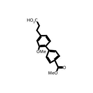 COC(=O)c1ccc(-c2ccc(CCC(=O)O)cc2OC)cc1